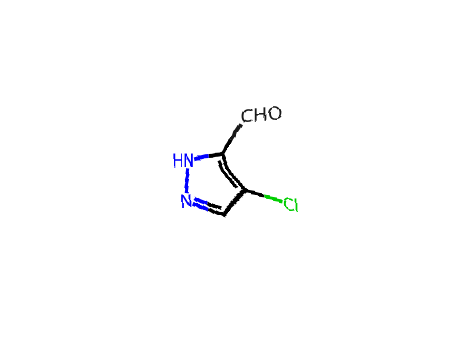 O=Cc1[nH]ncc1Cl